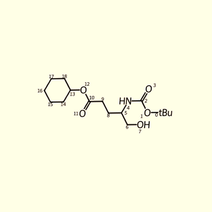 CC(C)(C)OC(=O)NC(CO)CCC(=O)OC1CCCCC1